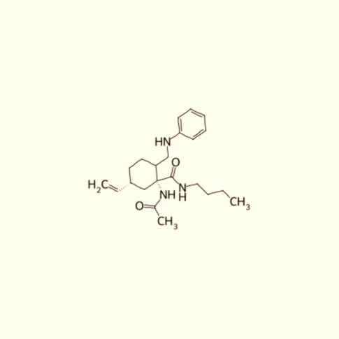 C=C[C@@H]1CCC(CNc2ccccc2)[C@@](NC(C)=O)(C(=O)NCCCC)C1